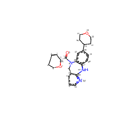 O=C([C@H]1CCCCO1)N1Cc2cccnc2Nc2ccc(C3CCOCC3)cc21